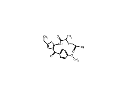 CCc1cc(C(=O)c2ccc(OC)cc2)c(NC(=O)C(C)SCC(=O)O)s1